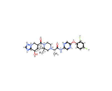 C[C@@H](C(=O)Nc1cnc(Oc2ccc(F)cc2F)cn1)N1CCN(C(=O)C2CC(O)c3ncnn3C2)C(C)(C)C1